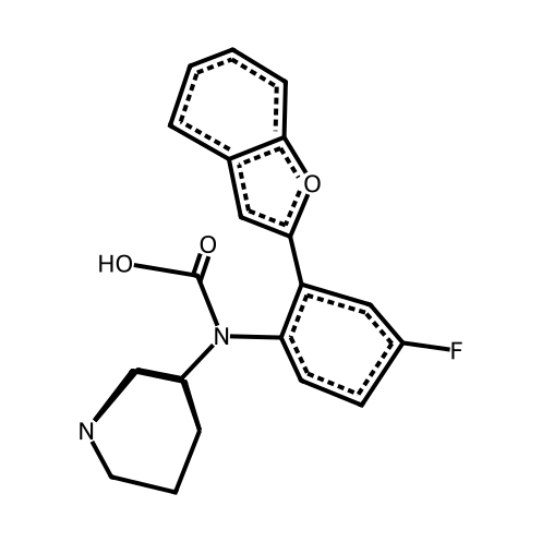 O=C(O)N(c1ccc(F)cc1-c1cc2ccccc2o1)C1CN2CCC1CC2